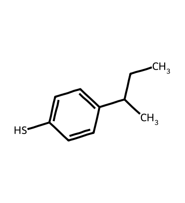 CCC(C)c1ccc(S)cc1